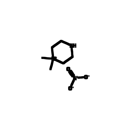 C[N+]1(C)CCNCC1.O=[N+]([O-])[O-]